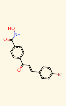 O=C(C=Cc1ccc(Br)cc1)c1ccc(C(=O)NO)cc1